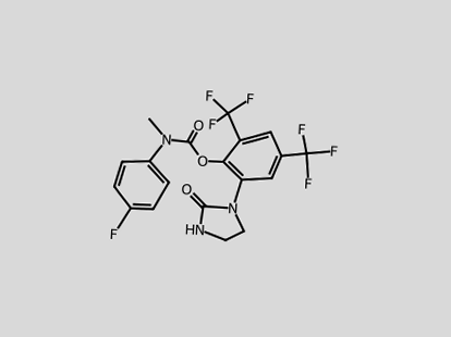 CN(C(=O)Oc1c(N2CCNC2=O)cc(C(F)(F)F)cc1C(F)(F)F)c1ccc(F)cc1